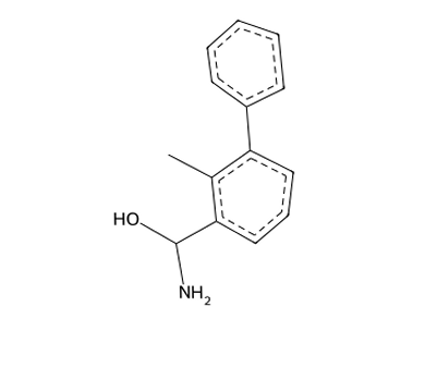 Cc1c(-c2ccccc2)cccc1C(N)O